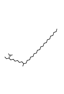 CCCCCCCCCCCCCCCCCCCCC(C)CCCCCCC(CC)N(C)C